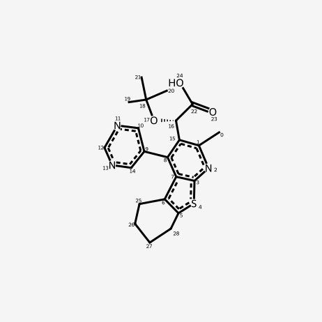 Cc1nc2sc3c(c2c(-c2cncnc2)c1[C@H](OC(C)(C)C)C(=O)O)CCCC3